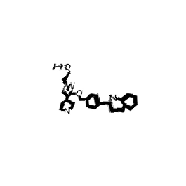 OCCn1cc(-c2ccncc2)c(OCc2ccc(-c3ccc4ccccc4n3)cc2)n1